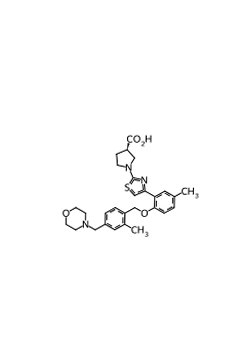 Cc1ccc(OCc2ccc(CN3CCOCC3)cc2C)c(-c2csc(N3CC[C@@H](C(=O)O)C3)n2)c1